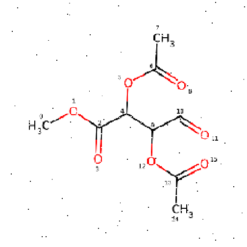 COC(=O)C(OC(C)=O)C([C]=O)OC(C)=O